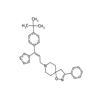 CC(C)(C)c1ccc(C(=CCN2CCC3(CC2)CC(c2ccccc2)=NO3)c2ccsc2)cc1